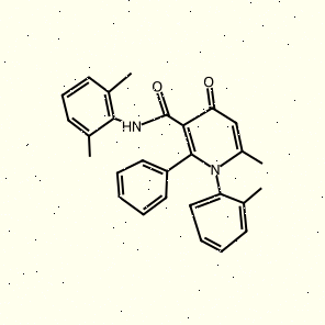 Cc1ccccc1-n1c(C)cc(=O)c(C(=O)Nc2c(C)cccc2C)c1-c1ccccc1